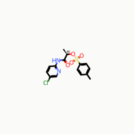 Cc1ccc(S(=O)(=O)O[C@H](C)C(=O)Nc2ccc(Cl)cn2)cc1